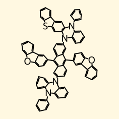 c1ccc(N2c3ccccc3N(c3ccc4c(-c5ccc6oc7ccccc7c6c5)c5cc(N6c7ccccc7N(c7ccccc7)c7cc8c(cc76)sc6ccccc68)ccc5c(-c5ccc6oc7ccccc7c6c5)c4c3)c3ccccc32)cc1